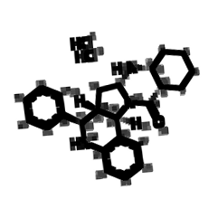 Cl.Cl.N[C@@H]1CCCC[C@@H]1C(=O)N1CC[C@H]2[C@H](c3ccccc3)Nc3ccccc3[C@@H]21